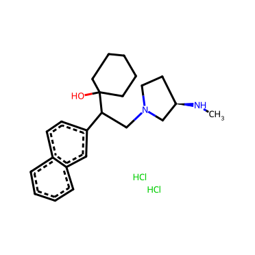 CN[C@@H]1CCN(CC(c2ccc3ccccc3c2)C2(O)CCCCC2)C1.Cl.Cl